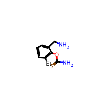 CCc1cccc(CN)c1OC(N)=S